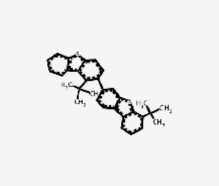 CC(C)(C)c1cccc2c1sc1cc(-c3ccc4sc5ccccc5c4c3C(C)(C)C)ccc12